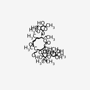 CC[C@H]1OC(=O)C[C@@H](O)[C@H](C)[C@@H](O[C@@H]2OC(C)[C@@H](O[C@H]3CC(C)(O)[C@@H](O)C(C)O3)[C@@H](N(C)C)C2O)[C@@H](CC=O)C[C@@H](C)C(=O)/C=C/C(C)=C/[C@@H]1CO[C@@H]1OC(C)[C@@H](O)[C@H](CO)C1OC